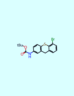 CC(C)(C)OC(=O)Nc1ccc2c(c1)Cc1cccc(Br)c1S2